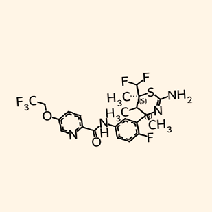 CC1[C@@](C)(C(F)F)SC(N)=N[C@]1(C)c1cc(NC(=O)c2ccc(OCC(F)(F)F)cn2)ccc1F